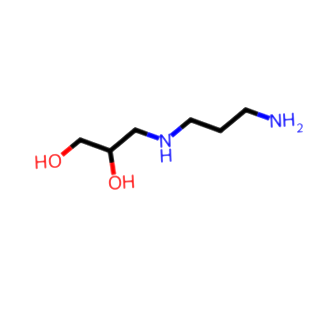 NCCCNCC(O)CO